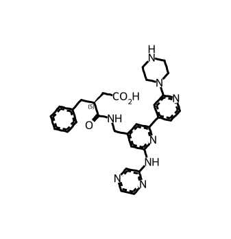 O=C(O)C[C@H](Cc1ccccc1)C(=O)NCc1cc(Nc2cnccn2)nc(-c2ccnc(N3CCNCC3)c2)c1